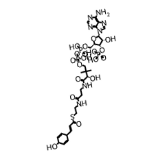 CC(C)(COP(=O)(O)OP(=O)(O)OC[C@H]1O[C@@H](n2cnc3c(N)ncnc32)[C@H](O)[C@@H]1OP(=O)(O)O)[C@@H](O)C(=O)NCCC(=O)NCCSC(=O)/C=C/C1C=CC(O)C=C1